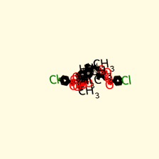 CC(=O)OC[C@]12C(=O)C=C[C@H](OC(=O)c3ccc(Cl)cc3)[C@]13O[C@@H]3C[C@H]1[C@@H]3CC[C@H]([C@H](C)[C@H]4CC(C)=C(COC(=O)c5ccc(Cl)cc5)C(=O)O4)[C@@]3(C)CC[C@@H]12